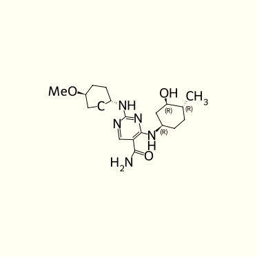 CO[C@H]1CC[C@H](Nc2ncc(C(N)=O)c(N[C@@H]3CC[C@@H](C)[C@H](O)C3)n2)CC1